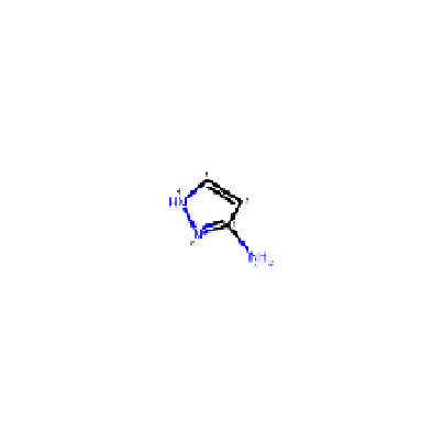 Nc1c[c][nH]n1